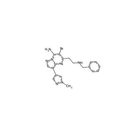 Cn1cc(-c2cnn3c(N)c(Br)c(CCNCc4ccccc4)nc23)cn1